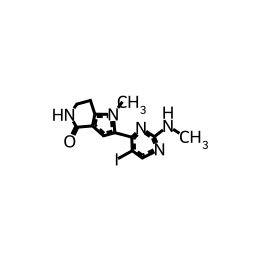 CNc1ncc(I)c(-c2cc3c(n2C)CCNC3=O)n1